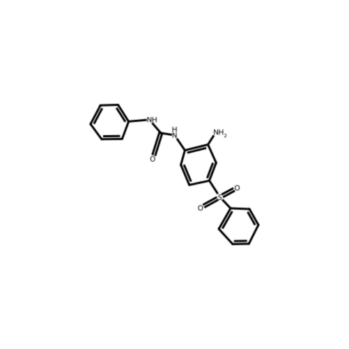 Nc1cc(S(=O)(=O)c2ccccc2)ccc1NC(=O)Nc1ccccc1